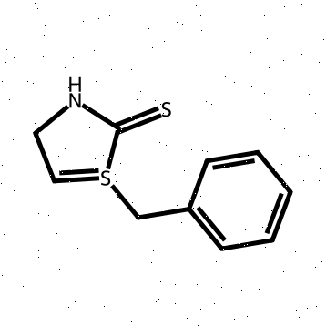 S=C1NCC=S1Cc1ccccc1